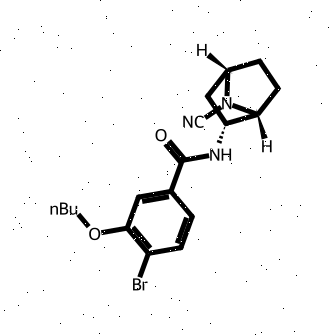 CCCCOc1cc(C(=O)N[C@@H]2C[C@@H]3CC[C@H]2N3C#N)ccc1Br